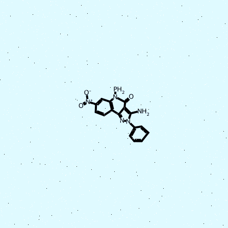 Nc1c2c(=O)n(P)c3cc([N+](=O)[O-])ccc3c2nn1-c1ccccc1